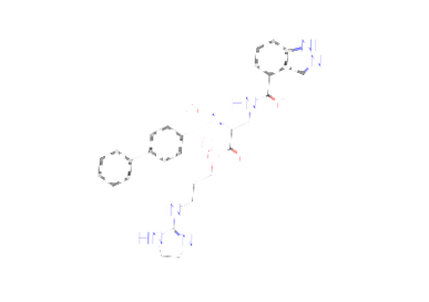 O=C(NCC(NS(=O)(=O)c1ccc(-c2ccccc2)cc1)C(=O)OCCCNC1=NCCN1)c1cccc2[nH]ncc12